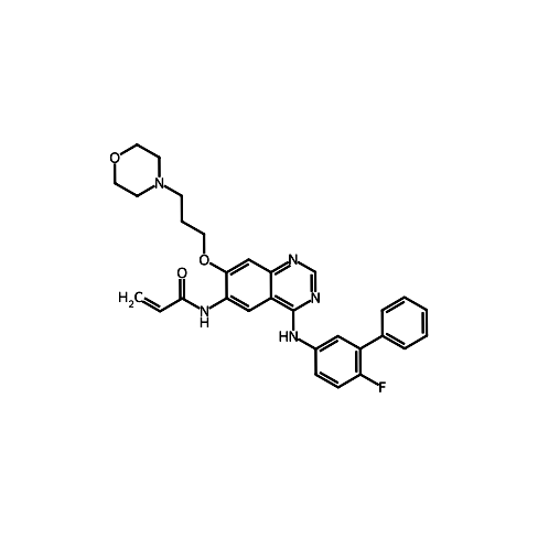 C=CC(=O)Nc1cc2c(Nc3ccc(F)c(-c4ccccc4)c3)ncnc2cc1OCCCN1CCOCC1